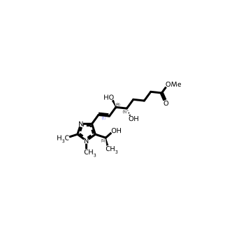 COC(=O)CCC[C@H](O)[C@H](O)/C=C/c1nc(C)n(C)c1[C@H](C)O